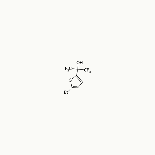 [CH2]Cc1ccc(C(O)(C(F)(F)F)C(F)(F)F)s1